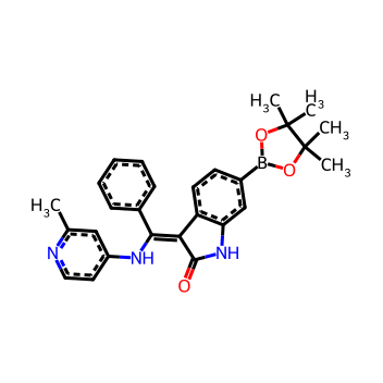 Cc1cc(N/C(=C2\C(=O)Nc3cc(B4OC(C)(C)C(C)(C)O4)ccc32)c2ccccc2)ccn1